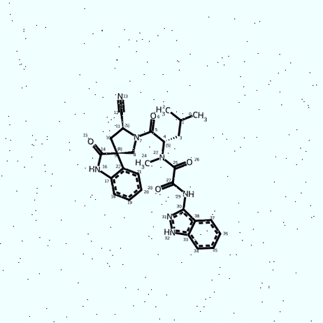 CC(C)C[C@@H](C(=O)N1C[C@]2(C[C@H]1C#N)C(=O)Nc1ccccc12)N(C)C(=O)C(=O)Nc1n[nH]c2ccccc12